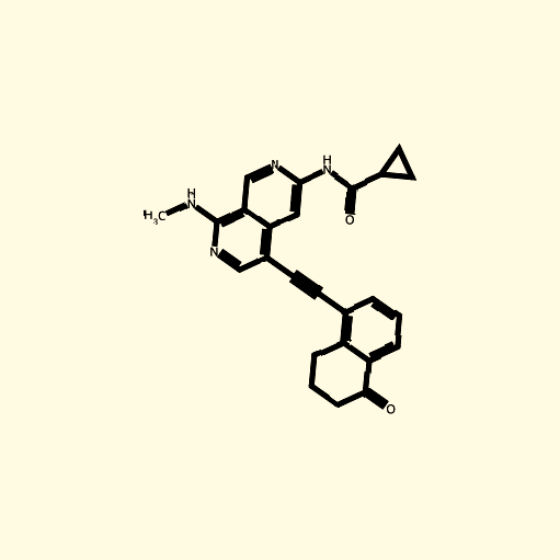 CNc1ncc(C#Cc2cccc3c2CCCC3=O)c2cc(NC(=O)C3CC3)ncc12